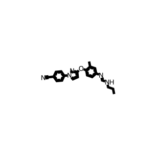 CCCN/C=N/c1ccc(Oc2ccn(-c3ccc(C#N)cc3)n2)c(C)c1